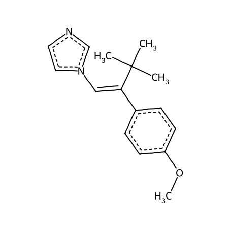 COc1ccc(C(=Cn2ccnc2)C(C)(C)C)cc1